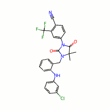 CC1(C)C(=O)N(c2ccc(C#N)c(C(F)(F)F)c2)C(=O)N1Cc1ccccc1Nc1cccc(Cl)c1